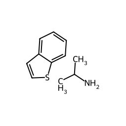 CC(C)N.c1ccc2sccc2c1